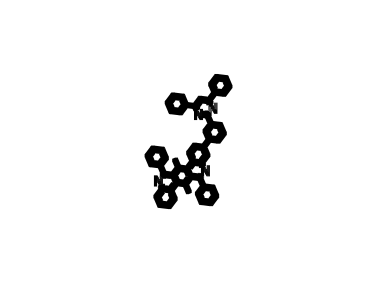 Cc1c2c(-c3ccccc3)nc3cc(-c4cccc(-c5nc(-c6ccccc6)cc(-c6ccccc6)n5)c4)ccc3c2c(C)c2c(-c3ccccc3)nc3ccccc3c12